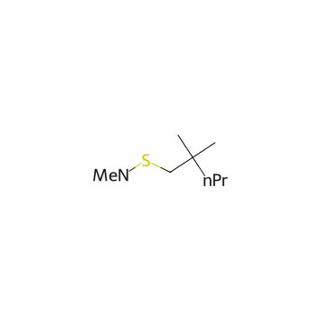 CCCC(C)(C)CSNC